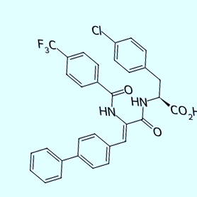 O=C(N[C@@H](Cc1ccc(Cl)cc1)C(=O)O)C(=Cc1ccc(-c2ccccc2)cc1)NC(=O)c1ccc(C(F)(F)F)cc1